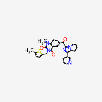 Cc1ccc(Cn2c(=O)c3cc(C(=O)c4nc(-c5cccnc5)c5ccccn45)ccc3n(C)c2=O)s1